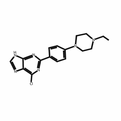 CCN1CCN(c2ccc(-c3nc(Cl)c4nc[nH]c4n3)cc2)CC1